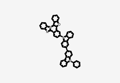 c1ccc(-n2c3ccccc3c3cc(-c4ccc5c(c4)c4ccccc4n5-c4ccc5c(c4)c4oc6ccccc6c4n4c6ccccc6nc54)ccc32)cc1